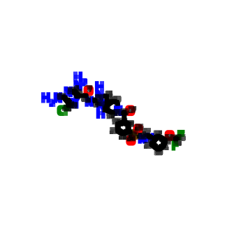 Nc1nc(N)c(C(=O)/N=C2\NCC3(CCN(C(=O)c4cccc(S(=O)(=O)NCc5cccc(OC(F)F)c5)c4)CC3)N2)nc1Cl